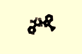 O=C(NC(c1cccnc1)C(F)F)c1nc(C2CC2)n2ccccc12